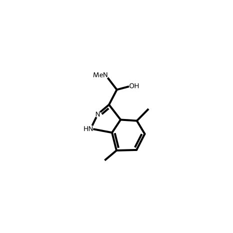 CNC(O)C1=NNC2=C(C)C=CC(C)C12